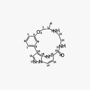 CC1COc2cccc(c2)-c2cnn3ccc(nc23)C(=O)NCCN1